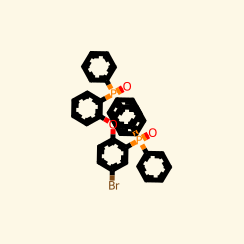 O=P(c1ccccc1)(c1ccccc1)c1ccccc1Oc1ccc(Br)cc1P(=O)(c1ccccc1)c1ccccc1